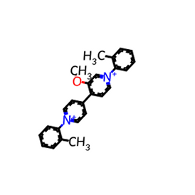 COc1c[n+](-c2ccccc2C)ccc1-c1cc[n+](-c2ccccc2C)cc1